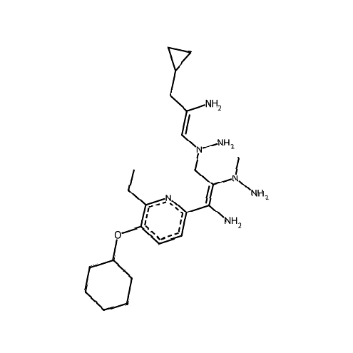 CCc1nc(/C(N)=C(\CN(N)/C=C(\N)CC2CC2)N(C)N)ccc1OC1CCCCC1